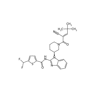 CC(C)(C)/C=C(\C#N)C(=O)N1CCC[C@H](n2c(NC(=O)c3ccc(C(F)F)s3)nc3ccccc32)C1